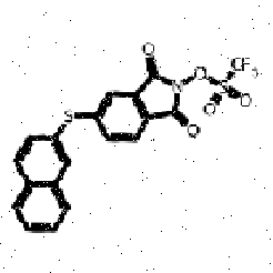 O=C1c2ccc(Sc3ccc4ccccc4c3)cc2C(=O)N1OS(=O)(=O)C(F)(F)F